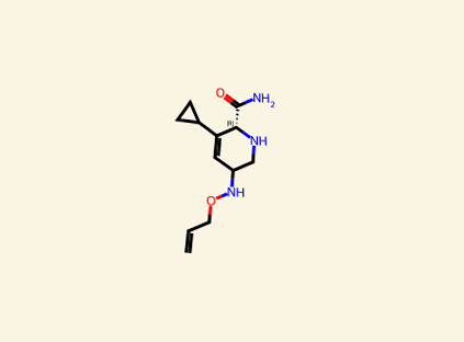 C=CCONC1C=C(C2CC2)[C@H](C(N)=O)NC1